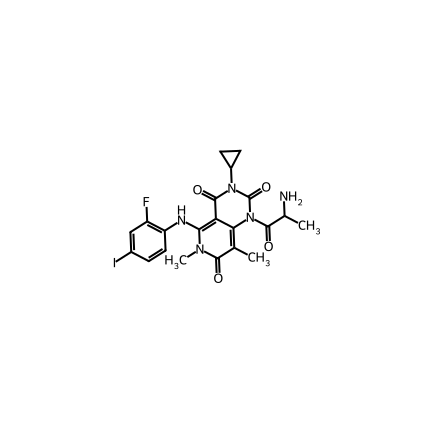 Cc1c(=O)n(C)c(Nc2ccc(I)cc2F)c2c(=O)n(C3CC3)c(=O)n(C(=O)C(C)N)c12